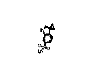 NS(=O)(=O)c1ccc2c(c1)NCC21CC1